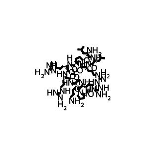 CC(C)C[C@H](NC(=O)[C@@H](N)CC(C)C)C(=O)N[C@@H](CCCNC(=N)N)C(=O)N1CCC[C@H]1C(=O)N[C@@H](CCCNC(=N)N)C(=O)N[C@@H](CCCNC(=N)N)C(=O)N[C@@H](CCCCN)C(=O)N[C@@H](CCCNC(=N)N)C(=O)N1CCC[C@H]1C(=O)O